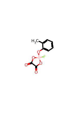 Cc1ccccc1O[B-]1(F)OC(=O)C(=O)O1